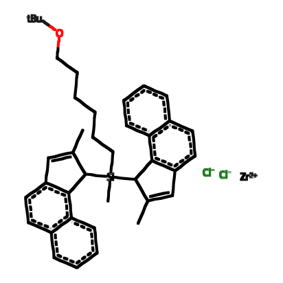 CC1=Cc2ccc3ccccc3c2C1[Si](C)(CCCCCCOC(C)(C)C)C1C(C)=Cc2ccc3ccccc3c21.[Cl-].[Cl-].[Zr+2]